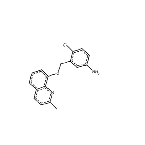 Cc1ccc2cccc(OCc3cc(N)ccc3Cl)c2n1